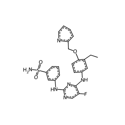 CCc1cc(Nc2nc(Nc3cccc(S(N)(=O)=O)c3)ncc2F)ccc1OCc1ccccn1